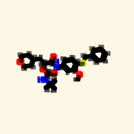 COc1cc(NC(=O)[C@H](CC2CCOCC2)OC(=O)NC(C)(C)C)ccc1SCc1ccccc1